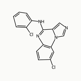 Clc1ccc2nc(Nc3ccccc3Cl)c3cncn3c2c1